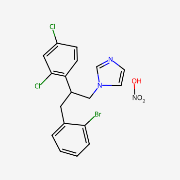 Clc1ccc(C(Cc2ccccc2Br)Cn2ccnc2)c(Cl)c1.O=[N+]([O-])O